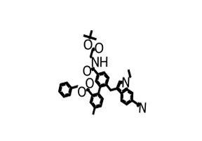 CCn1cc(Cc2ccc(C(=O)NCC(=O)OC(C)(C)C)cc2-c2ccc(C)cc2C(=O)OCc2ccccc2)c2ccc(C#N)cc21